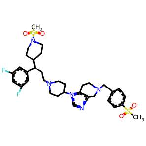 CS(=O)(=O)c1ccc(CN2CCc3c(ncn3C3CCN(CC[C@@H](c4cc(F)cc(F)c4)C4CCN(S(C)(=O)=O)CC4)CC3)C2)cc1